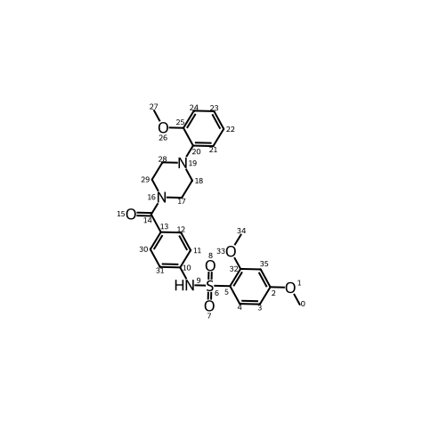 COc1ccc(S(=O)(=O)Nc2ccc(C(=O)N3CCN(c4ccccc4OC)CC3)cc2)c(OC)c1